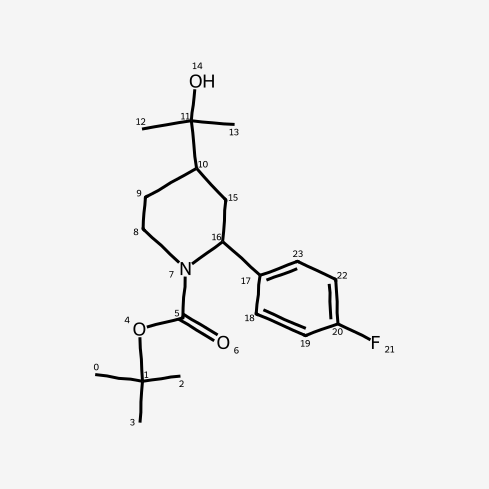 CC(C)(C)OC(=O)N1CCC(C(C)(C)O)CC1c1ccc(F)cc1